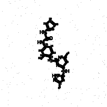 Cc1cc(Nc2cc(C)nc(Sc3ccc(NC(=O)Nc4cccs4)cc3C)n2)[nH]n1